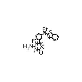 CCN(c1ccc(F)c([C@@]2(C)N=C(N)N(C)C(=O)C2(C)C)c1)c1nc2ccccc2s1